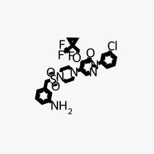 Nc1cccc(CS(=O)(=O)N2CCN(c3cnn(-c4cccc(Cl)c4)c(=O)c3OCC3(C(F)(F)F)CC3)CC2)c1